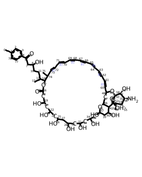 Cc1ccc(C(=O)CC(O)CCC(C)C2OC(=O)CC(O)CC(O)CC(O)CC(O)CC(O)CC(O)CC3(O)CC(O)C(C(=O)O)C(CC(O[C@@H]4O[C@H](C)[C@@H](C)[C@H](N)[C@@H]4O)/C=C/C=C/C=C/C=C/C=C/C=C/C=C/C2C)O3)cc1